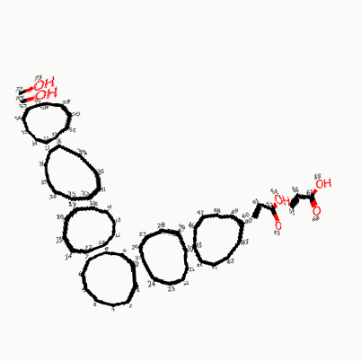 C1CCCCCCCCC1.C1CCCCCCCCC1.C1CCCCCCCCC1.C1CCCCCCCCC1.C1CCCCCCCCC1.C1CCCCCCCCC1.C=CC(=O)O.C=CC(=O)O.CO.CO